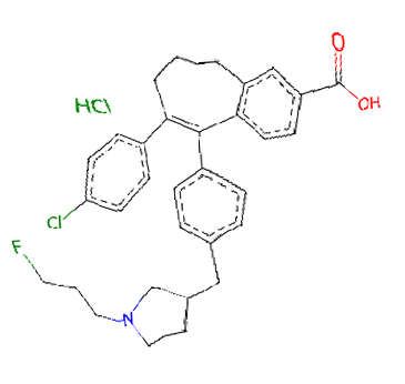 Cl.O=C(O)c1ccc2c(c1)CCCC(c1ccc(Cl)cc1)=C2c1ccc(CC2CCN(CCCF)C2)cc1